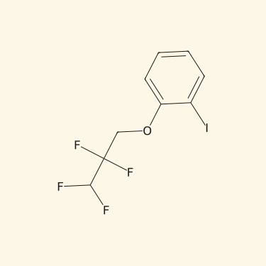 FC(F)C(F)(F)COc1ccccc1I